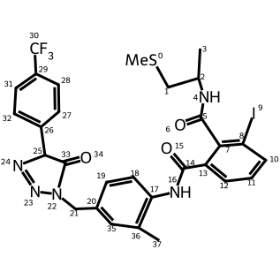 CSCC(C)NC(=O)c1c(I)cccc1C(=O)Nc1ccc(CN2N=NC(c3ccc(C(F)(F)F)cc3)C2=O)cc1C